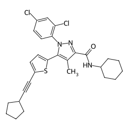 Cc1c(C(=O)NC2CCCCC2)nn(-c2ccc(Cl)cc2Cl)c1-c1ccc(C#CC2CCCC2)s1